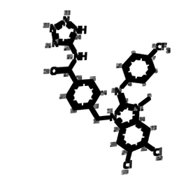 Cn1c(=Nc2ccc(C(F)(F)F)cc2)n(Cc2ccc(C(=O)Nc3nnn[nH]3)cc2)c2cc(Cl)c(Cl)cc21